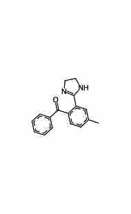 Cc1ccc(C(=O)c2ccccc2)c(C2=NCCN2)c1